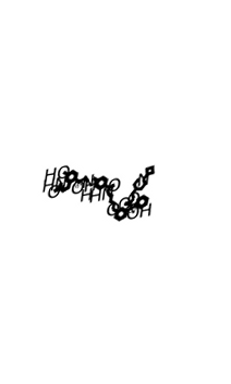 O=C(NCCCOc1cccc([C@](O)(C(=O)OCC2CCN(C3CCC3)CC2)c2ccccc2)c1)c1ccc(CNC[C@H](O)c2ccc(O)c3[nH]c(=O)ccc23)cc1